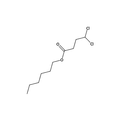 CCCCCCOC(=O)CCC(Cl)Cl